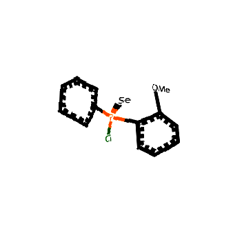 COc1ccccc1P(Cl)(=[Se])c1ccccc1